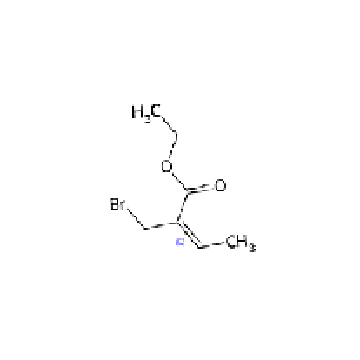 C/C=C(/CBr)C(=O)OCC